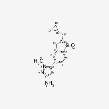 Cn1nc(N)cc1-c1ccc2c(c1)CN(CC1CC1)C2=O